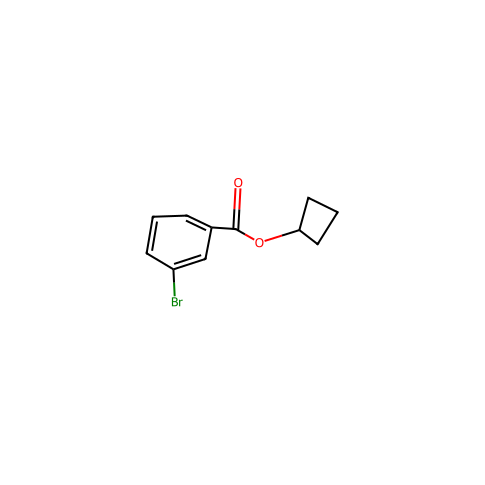 O=C(OC1CCC1)c1cccc(Br)c1